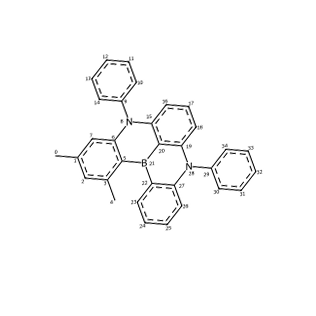 Cc1cc(C)c2c(c1)N(c1ccccc1)c1cccc3c1B2c1ccccc1N3c1ccccc1